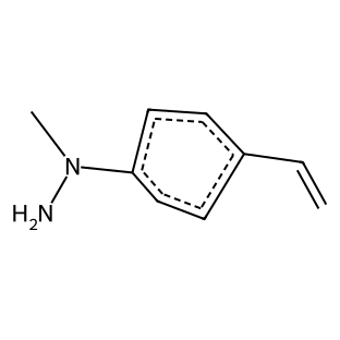 C=Cc1ccc(N(C)N)cc1